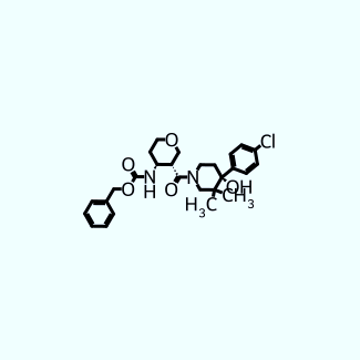 CC1(C)CN(C(=O)[C@H]2COCC[C@H]2NC(=O)OCc2ccccc2)CC[C@]1(O)c1ccc(Cl)cc1